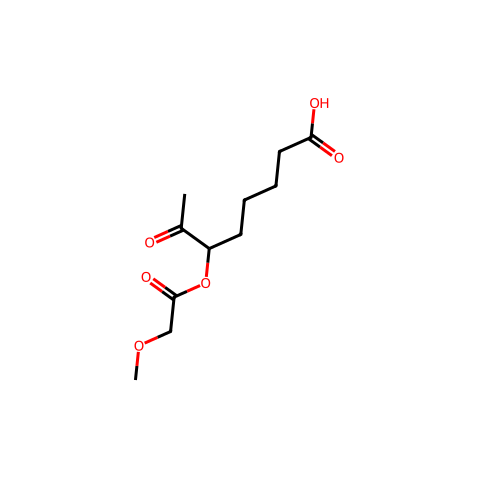 COCC(=O)OC(CCCCC(=O)O)C(C)=O